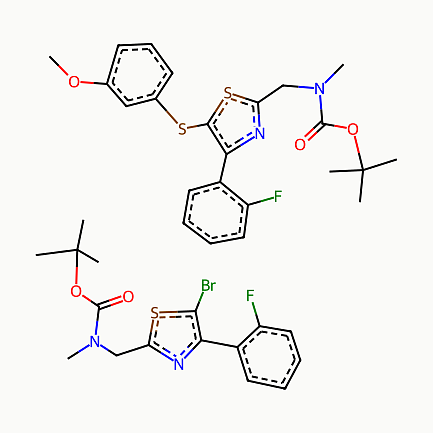 CN(Cc1nc(-c2ccccc2F)c(Br)s1)C(=O)OC(C)(C)C.COc1cccc(Sc2sc(CN(C)C(=O)OC(C)(C)C)nc2-c2ccccc2F)c1